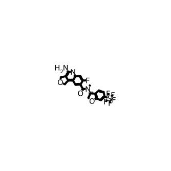 CN(C(=O)c1cc2c3c(c(N)nc2cc1F)COC3)[C@H]1COc2cc(S(F)(F)(F)(F)F)ccc21